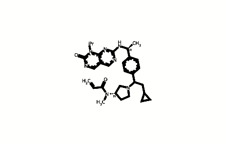 C=CC(=O)N(C)[C@H]1CCN(C(CC2CC2)c2ccc([C@H](C)Nc3ncc4cnc(=O)n(C(C)C)c4n3)cc2)C1